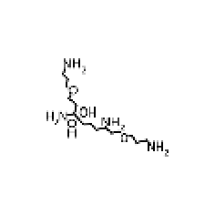 NCCCOCCC(N)CCCC(O)(O)C(N)CCOCCCN